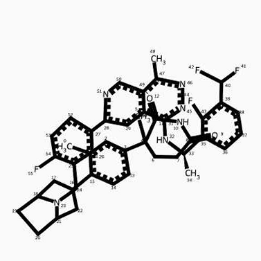 Cc1cc(C2(C)CCC(=O)NC2=O)ccc1C1CC2CCC(C1)N2Cc1cc(-c2cc3c(N[C@H](C)c4cccc(C(F)F)c4F)nnc(C)c3cn2)ccc1F